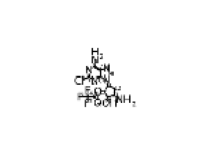 Nc1nc(Cl)nc2c1ncn2C1C[C@H](N)[C@@H](O)[C@H]1OC(=O)C(F)(F)F